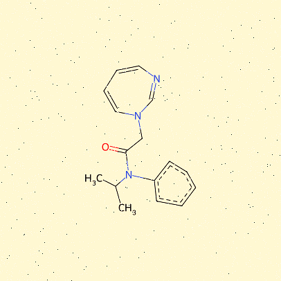 CC(C)N(C(=O)CN1C=CC=CN=C1)c1ccccc1